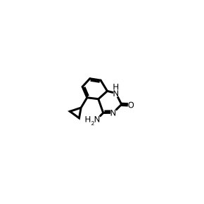 NC1=NC(=O)NC2C=CC=C(C3CC3)C12